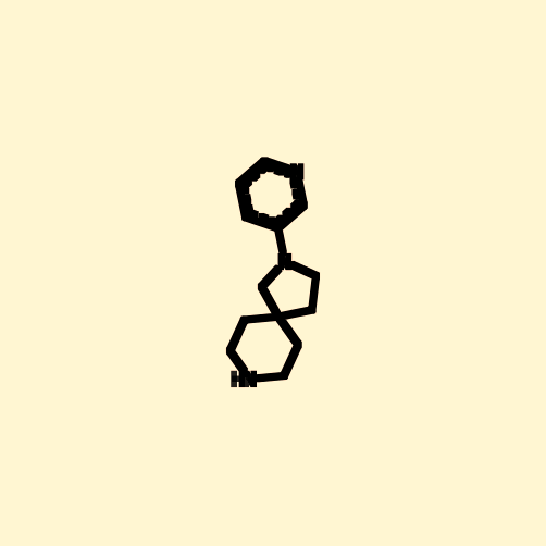 c1cncc(N2CCC3(CCNCC3)C2)c1